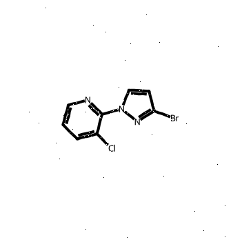 Clc1cccnc1-n1ccc(Br)n1